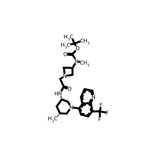 C[C@@H]1C[C@H](NC(=O)CN2CC(N(C)C(=O)OC(C)(C)C)C2)CN(c2ccc(C(F)(F)F)c3ncccc23)C1